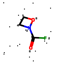 O=C(F)N1CCO1